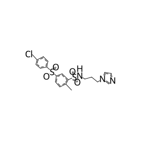 Cc1ccc(S(=O)(=O)c2ccc(Cl)cc2)cc1S(=O)(=O)NCCCn1ccnc1